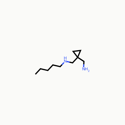 CCCCCNCC1(CN)CC1